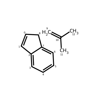 C1=Cc2ccccc2C1.C=C(C)C